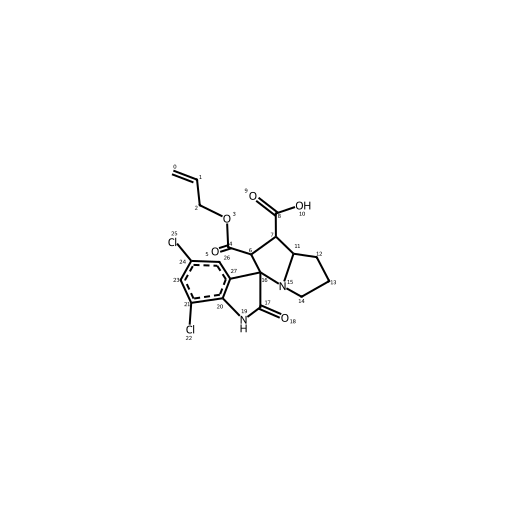 C=CCOC(=O)C1C(C(=O)O)C2CCCN2C12C(=O)Nc1c(Cl)cc(Cl)cc12